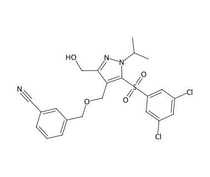 CC(C)n1nc(CO)c(COCc2cccc(C#N)c2)c1S(=O)(=O)c1cc(Cl)cc(Cl)c1